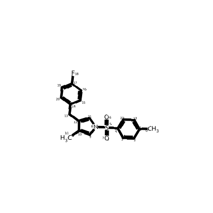 Cc1ccc(S(=O)(=O)n2cc(C)c(Cc3ccc(F)cc3)c2)cc1